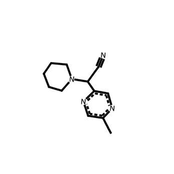 Cc1cnc(C(C#N)N2CCCCC2)cn1